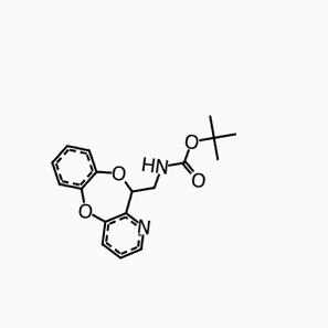 CC(C)(C)OC(=O)NCC1Oc2ccccc2Oc2cccnc21